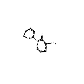 O=C(O)Nc1cccn(-c2ccccn2)c1=O